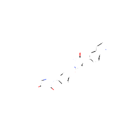 Nc1nn(-c2cc(Cl)c(Oc3cc(-c4ccc5nnccc5c4)c(=O)[nH]n3)c(Cl)c2)c(=O)[nH]c1=O